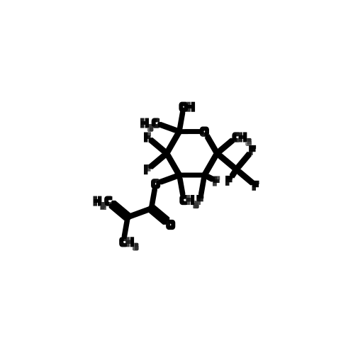 C=C(C)C(=O)OC1(C)C(F)(F)C(C)(O)OC(C)(C(F)(F)F)C1(F)F